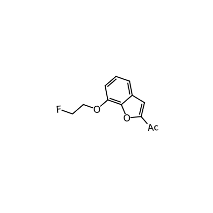 CC(=O)c1cc2cccc(OCCF)c2o1